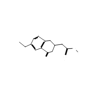 CCc1ccc2c(c1)C(=O)CC(CC(=O)OC)C2